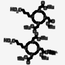 CC(C)(C)OC(=O)CN1CCN(CCCCC(=O)O)CCN(CC(=O)OC(C)(C)C)CCN(CC(=O)OC(C)(C)C)CC1.CC(C)(C)OC(=O)CN1CCN(CCCCC(=O)O)CCN(CC(=O)OC(C)(C)C)CCN(CC(=O)OC(C)(C)C)CC1.[Br-].[Br-].[Na+].[Na+]